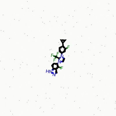 Fc1cc(N2C=CN(c3ccc4[nH]ncc4c3F)C2C(F)(F)F)ccc1C1CC1